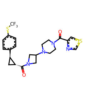 O=C(c1cscn1)N1CCN(C2CN(C(=O)[C@@H]3C[C@H]3c3ccc(SC(F)(F)F)cc3)C2)CC1